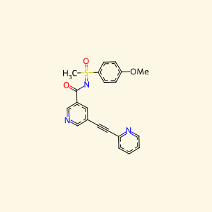 COc1ccc(S(C)(=O)=NC(=O)c2cncc(C#Cc3ccccn3)c2)cc1